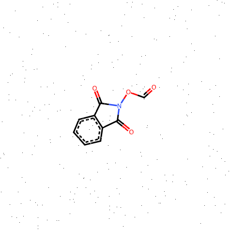 O=[C]ON1C(=O)c2ccccc2C1=O